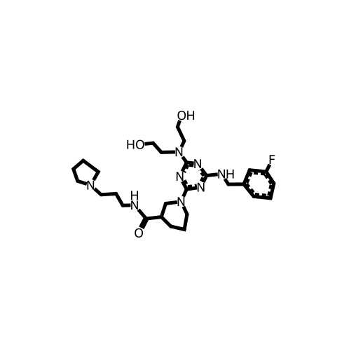 O=C(NCCCN1CCCC1)C1CCCN(c2nc(NCc3cccc(F)c3)nc(N(CCO)CCO)n2)C1